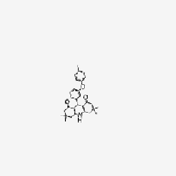 Cc1ccc(Oc2cccc(C3C4=C(CC(C)(C)CC4=O)NC4=C3C(=O)CC(C)(C)C4)c2)cc1